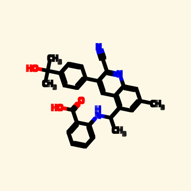 Cc1cc(C(C)Nc2ccccc2C(=O)O)c2cc(-c3ccc(C(C)(C)O)cc3)c(C#N)nc2c1